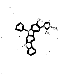 Cc1cc2c(cc1N1C=CN(C)[C@@H]1C)c1cc3c(cc1n2-c1ccccc1)oc1ccccc13